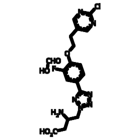 NC(CC(=O)O)Cn1nnc(-c2ccc(OCCc3cnc(Cl)nc3)c(F)c2)n1.O=CO